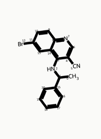 CC(Nc1c(C#N)cnc2ccc(Br)cc12)c1ccccc1